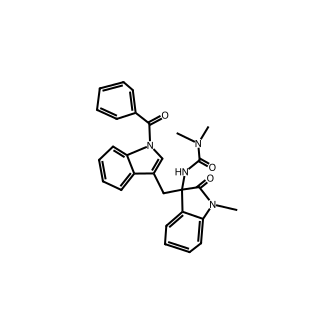 CN(C)C(=O)NC1(Cc2cn(C(=O)c3ccccc3)c3ccccc23)C(=O)N(C)c2ccccc21